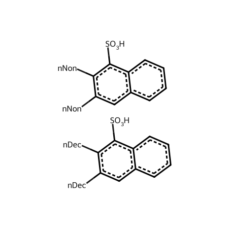 CCCCCCCCCCc1cc2ccccc2c(S(=O)(=O)O)c1CCCCCCCCCC.CCCCCCCCCc1cc2ccccc2c(S(=O)(=O)O)c1CCCCCCCCC